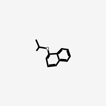 C[C](C)Oc1cccc2ccccc12